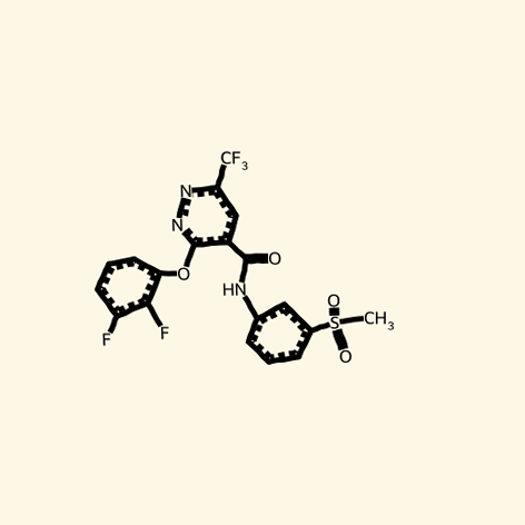 CS(=O)(=O)c1cccc(NC(=O)c2cc(C(F)(F)F)nnc2Oc2cccc(F)c2F)c1